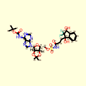 CC(C)(C)OC(=O)Nc1ncnc2c1ncn2[C@@H]1O[C@H](COS(=O)(=O)NC(=O)CCC2(O)c3ccccc3C(O)C2(F)F)[C@@H]2OC(C)(C)O[C@H]21